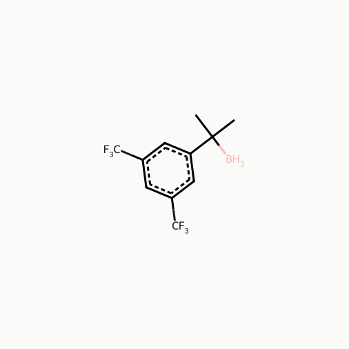 BC(C)(C)c1cc(C(F)(F)F)cc(C(F)(F)F)c1